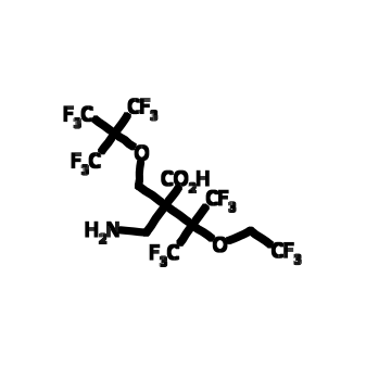 NCC(COC(C(F)(F)F)(C(F)(F)F)C(F)(F)F)(C(=O)O)C(OCC(F)(F)F)(C(F)(F)F)C(F)(F)F